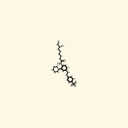 O=C(CCCCC[C@@H](F)CF)Nc1ccc(CCc2ccc(C(F)(F)F)cc2)cc1N1CCCCC1